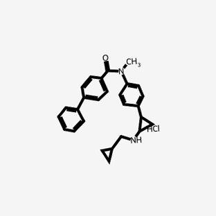 CN(C(=O)c1ccc(-c2ccccc2)cc1)c1ccc(C2CC2NCC2CC2)cc1.Cl